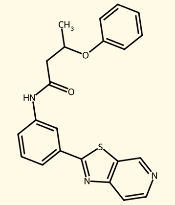 CC(CC(=O)Nc1cccc(-c2nc3ccncc3s2)c1)Oc1ccccc1